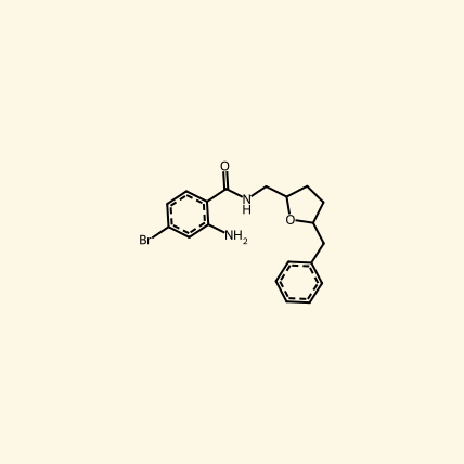 Nc1cc(Br)ccc1C(=O)NCC1CCC(Cc2ccccc2)O1